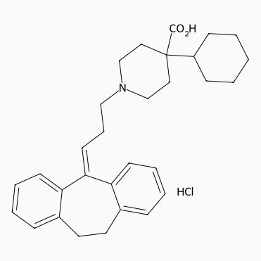 Cl.O=C(O)C1(C2CCCCC2)CCN(CCC=C2c3ccccc3CCc3ccccc32)CC1